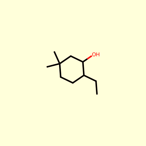 CCC1CCC(C)(C)CC1O